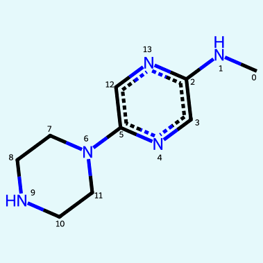 CNc1cnc(N2CCNCC2)cn1